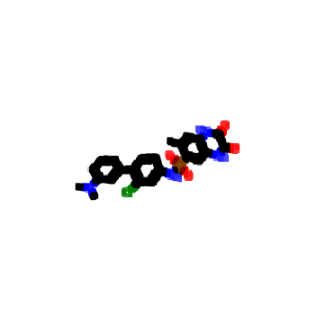 Cc1cc2[nH]c(=O)c(=O)[nH]c2cc1S(=O)(=O)Nc1ccc(-c2cccc(N(C)C)c2)c(Cl)c1